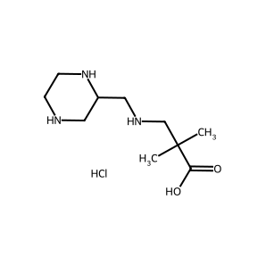 CC(C)(CNCC1CNCCN1)C(=O)O.Cl